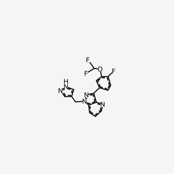 Fc1ccc(-c2nn(Cc3cn[nH]c3)c3cccnc23)cc1OC(F)F